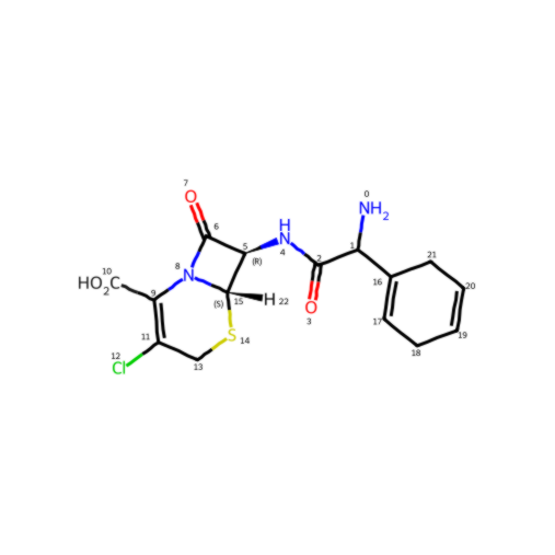 NC(C(=O)N[C@@H]1C(=O)N2C(C(=O)O)=C(Cl)CS[C@@H]12)C1=CCC=CC1